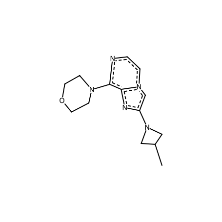 CC1CN(c2cn3ccnc(N4CCOCC4)c3n2)C1